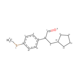 CSc1ccc(C(C=O)CC2CCCC2)cc1